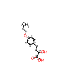 CCCOc1ccc(CCC(O)C(=O)O)cc1